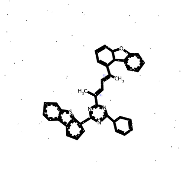 C/C(=C\C=C(/C)c1nc(-c2cccc3c2sc2ccccc23)nc(C2C=CC=CC2)n1)C1=CC=CC2Oc3ccccc3C12